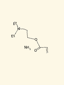 C=CC(=O)OCCN(CC)CC.N